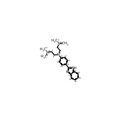 CN(C)CCN(CCN(C)C)c1ccc(-c2nc3ccccc3[nH]2)cc1